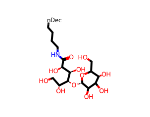 CCCCCCCCCCCCCCNC(=O)[C@H](O)[C@@H](O)[C@H](O[C@@H]1OC(CO)[C@@H](O)C(O)C1O)[C@H](O)CO